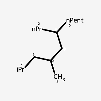 CCCCCC(CCC)C[C](C)CC(C)C